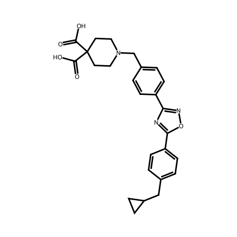 O=C(O)C1(C(=O)O)CCN(Cc2ccc(-c3noc(-c4ccc(CC5CC5)cc4)n3)cc2)CC1